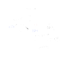 O=C(C1CC1)[C@@]1(CNc2cccc(C(F)(F)F)c2[N+](=O)[O-])CCNC1